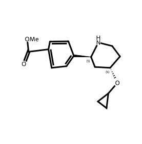 COC(=O)c1ccc([C@@H]2C[C@@H](OC3CC3)CCN2)cc1